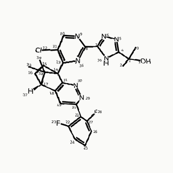 CC(C)(O)c1nnc(-c2ncc(Cl)c(C34CC[C@@H](c5cc(-c6c(F)cccc6F)nnc53)C4(C)C)n2)[nH]1